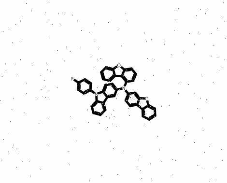 Fc1ccc(-n2c3ccccc3c3cc(N(c4ccc5c(c4)oc4ccccc45)c4cccc5oc6ccccc6c45)ccc32)cc1